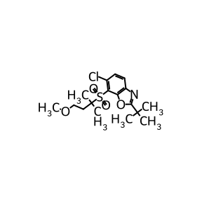 COCCC(C)(C)S(=O)(=O)c1c(Cl)ccc2nc(C(C)(C)C)oc12